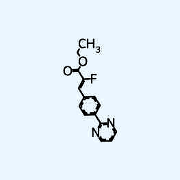 CCOC(=O)C(F)=Cc1ccc(-c2ncccn2)cc1